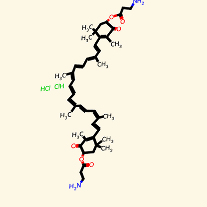 CC(C=CC=C(C)C=CC1=C(C)C(=O)C(OC(=O)CCN)CC1(C)C)=CC=CC=C(C)C=CC=C(C)C=CC1=C(C)C(=O)C(OC(=O)CCN)CC1(C)C.Cl.Cl